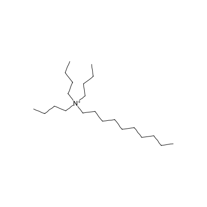 CCCCCCCCCC[N+](CCCC)(CCCC)CCCC